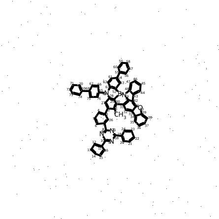 Cc1c(-c2cccc(-c3nc(-c4ccccc4)nc(-c4ccccc4)n3)c2)cc2c3c1-c1cc4c5ccccc5oc4c4c5ccccc5n(c14)B3c1cc(-c3ccccc3)ccc1N2c1ccc(-c2ccccc2)cc1